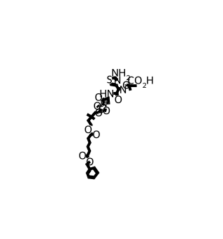 CC(C)(CCOC(=O)CCCCC(=O)OCc1ccccc1)COS(=O)(=O)N1C[C@H](NC(=O)/C(=N/OC(C)(C)C(=O)O)c2csc(N)n2)C1=O